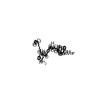 CN[C@H](C(=O)N[C@H](C(=O)N(C)[C@H](/C=C(\C)C(=O)NS(=O)(=O)Cc1ccc(CNC(=O)[C@H](CCCCN)NC(=O)[C@H](Cc2ccccc2)NC(=O)CCCCCN2C(=O)C=CC2=O)cc1)C(C)C)C(C)(C)C)C(C)(C)c1ccccc1